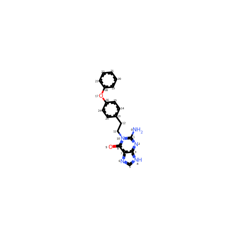 Nc1nc2[nH]cnc2c(=O)n1CCc1ccc(Oc2ccccc2)cc1